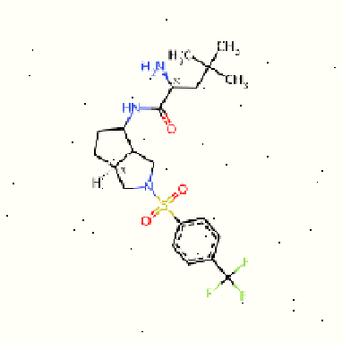 CC(C)(C)C[C@H](N)C(=O)NC1CC[C@@H]2CN(S(=O)(=O)c3ccc(C(F)(F)F)cc3)CC12